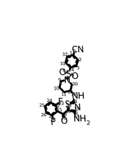 N#Cc1ccc(S(=O)(=O)N2CCCC(Nc3nc(N)c(C(=O)c4c(F)cccc4F)s3)C2)cc1